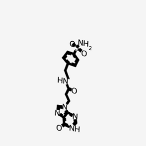 NS(=O)(=O)c1ccc(CCNC(=O)CCn2cnc3c(=O)[nH]cnc32)cc1